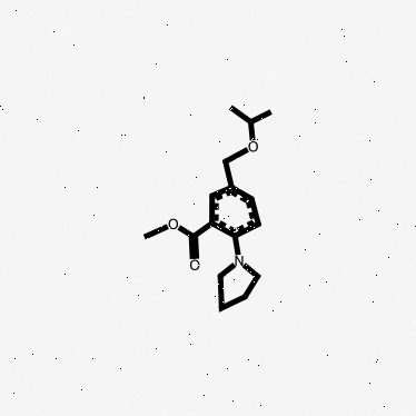 COC(=O)c1cc(COC(C)C)ccc1N1CCCC1